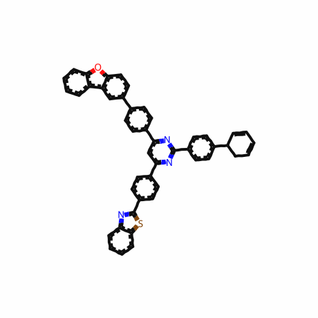 C1=CCC(c2ccc(-c3nc(-c4ccc(-c5ccc6oc7ccccc7c6c5)cc4)cc(-c4ccc(-c5nc6ccccc6s5)cc4)n3)cc2)C=C1